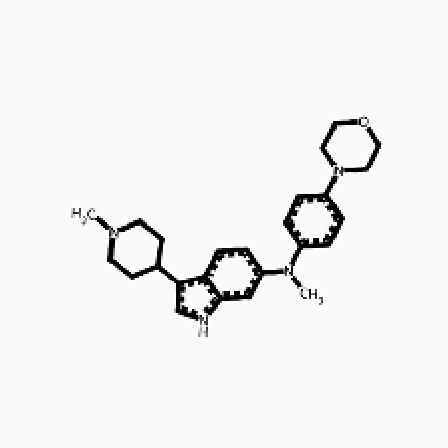 CN1CCC(c2c[nH]c3cc(N(C)c4ccc(N5CCOCC5)cc4)ccc23)CC1